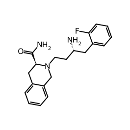 NC(=O)[C@@H]1Cc2ccccc2CN1CC[C@H](N)Cc1ccccc1F